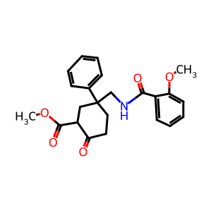 COC(=O)C1CC(CNC(=O)c2ccccc2OC)(c2ccccc2)CCC1=O